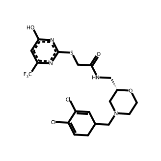 O=C(CSc1nc(O)cc(C(F)(F)F)n1)NC[C@H]1CN(CC2C=C(Cl)C(Cl)=CC2)CCO1